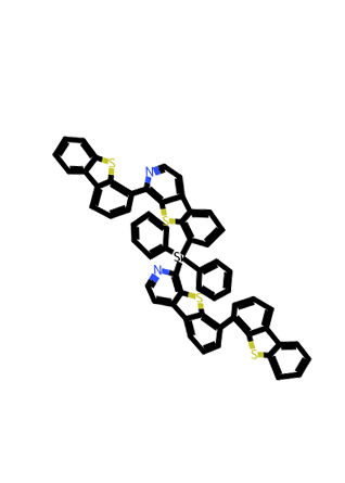 c1ccc([Si](c2ccccc2)(c2cccc3c2sc2c(-c4cccc5c4sc4ccccc45)nccc23)c2nccc3c2sc2c(-c4cccc5c4sc4ccccc45)cccc23)cc1